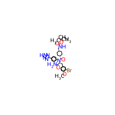 COc1ccc(C[C@@H](C(N)=O)N(c2ccc(-c3nn[nH]n3)cc2)C(=O)[C@H]2CC[C@H](CNC(=O)OC(C)(C)C)CC2)cc1Br